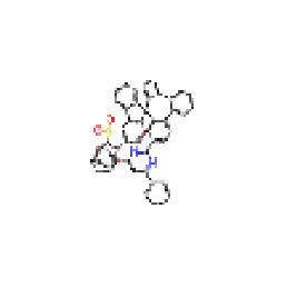 O=S1(=O)c2ccccc2-c2ccc3c(c21)-c1ccccc1C31c2ccccc2-c2ccccc2-c2ccc(-c3nc(-c4ccccc4)cc(-c4ccccc4)n3)cc21